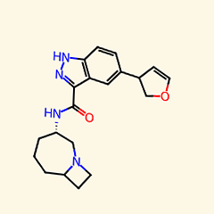 O=C(N[C@H]1CCCC2CCN2C1)c1n[nH]c2ccc(C3C=COC3)cc12